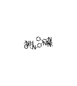 Cc1cc2ncc3cc(-c4ccccc4)c(-c4ccc(CN5CCC(C(=O)NC(C)C)CC5)cc4)nc3n2n1